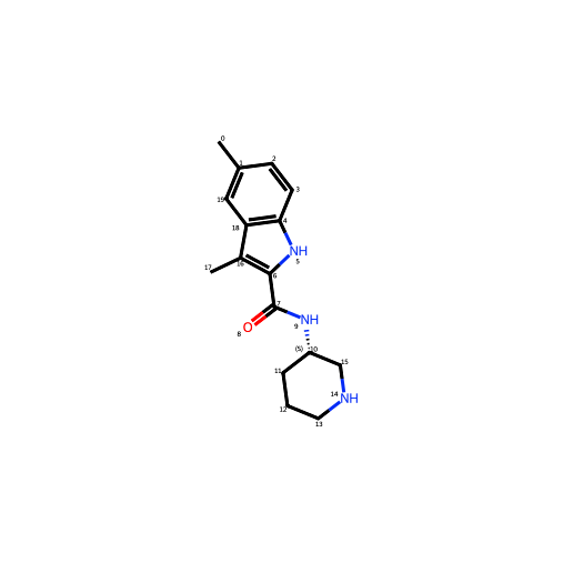 Cc1ccc2[nH]c(C(=O)N[C@H]3CCCNC3)c(C)c2c1